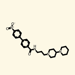 O=C(NCCCN1CCC(N2CCCCC2)CC1)c1ccc(-c2ccc([N+](=O)[O-])cc2)cc1